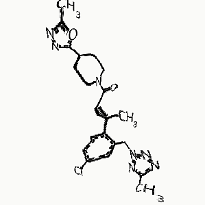 C/C(=C\C(=O)N1CCC(c2nnc(C)o2)CC1)c1ccc(Cl)cc1Cn1nnc(C)n1